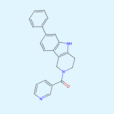 O=C(c1cccnc1)N1CCc2[nH]c3cc(-c4ccccc4)ccc3c2C1